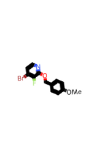 COc1ccc(COc2nccc(Br)c2F)cc1